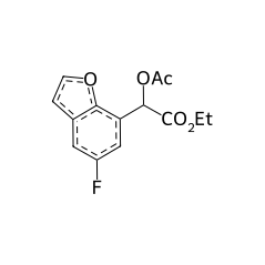 CCOC(=O)C(OC(C)=O)c1cc(F)cc2ccoc12